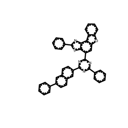 c1ccc(-c2ccc3cc(-c4nc(-c5ccccc5)nc(-c5cc6oc7ccccc7c6c6nc(-c7ccccc7)sc56)n4)ccc3c2)cc1